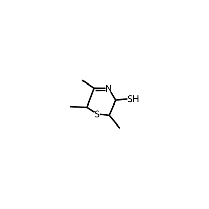 CC1=NC(S)C(C)SC1C